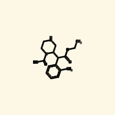 CCOC(=O)C(c1ccccc1C)C1CNCCN1C(=O)O